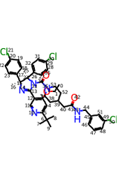 CCOc1cc(C(C)(C)C)ncc1C1=N[C@@](C)(c2ccc(Cl)cc2)[C@@](C)(c2ccc(Cl)cc2)N1C(=O)N1CCC(CC(=O)NCc2cccc(Cl)c2)CC1